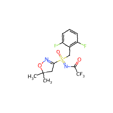 CC1(C)CC(S(=O)(Cc2c(F)cccc2F)=NC(=O)C(F)(F)F)=NO1